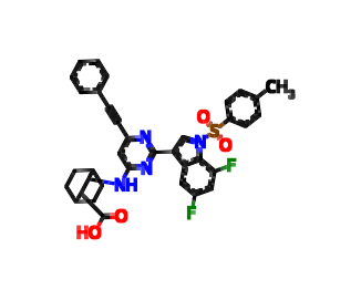 Cc1ccc(S(=O)(=O)n2cc(-c3nc(C#Cc4ccccc4)cc(NC4C5CCC(CC5)C4C(=O)O)n3)c3cc(F)cc(F)c32)cc1